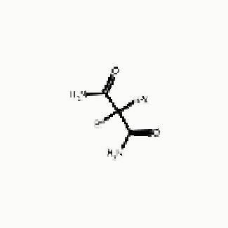 CCCC(CC)(C(N)=O)C(N)=O